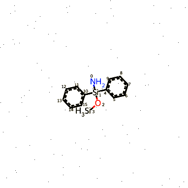 N[Si](O[SiH3])(c1ccccc1)c1ccccc1